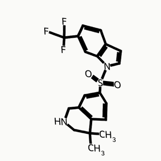 CC1(C)CNCc2cc(S(=O)(=O)n3ccc4ccc(C(F)(F)F)cc43)ccc21